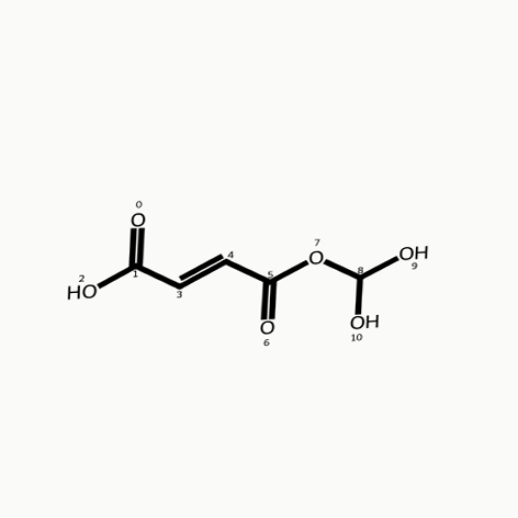 O=C(O)C=CC(=O)OC(O)O